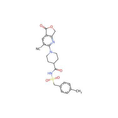 Cc1ccc(CS(=O)(=O)NC(=O)C2CCN(c3nc4c(cc3C#N)C(=O)OC4)CC2)cc1